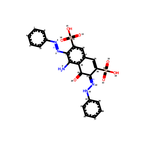 Nc1c(/N=N/c2ccccc2)c(S(=O)(=O)O)cc2c1C(=O)/C(=N\Nc1ccccc1)C(S(=O)(=O)O)=C2